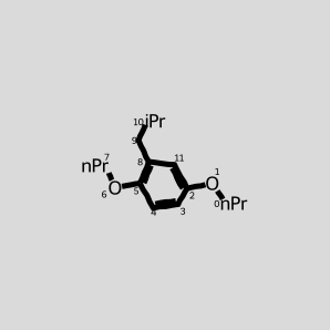 CCCOc1ccc(OCCC)c(CC(C)C)c1